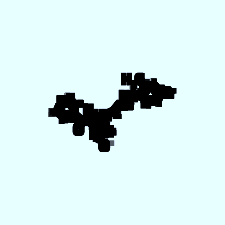 Cc1cc(Br)cnc1NCCCNc1n[s+]([O-])nc1NC(=O)c1ccncc1